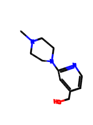 CN1CCN(c2cc(CO)ccn2)CC1